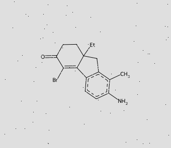 CCC12CCC(=O)C(Br)=C1c1ccc(N)c(C)c1C2